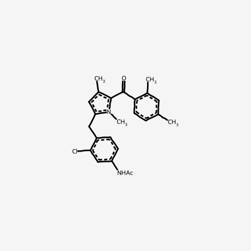 CC(=O)Nc1ccc(Cc2cc(C)c(C(=O)c3ccc(C)cc3C)n2C)c(Cl)c1